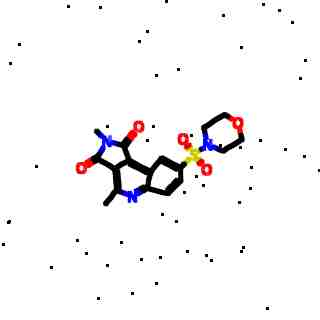 Cc1nc2ccc(S(=O)(=O)N3CCOCC3)cc2c2c1C(=O)N(C)C2=O